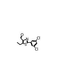 CCc1sc(-c2cc(Cl)cc(Cl)c2)nc1C=O